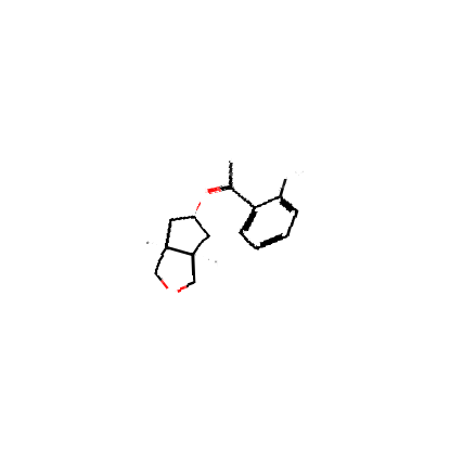 COc1ccccc1C(O[C@H]1C[C@H]2COC[C@H]2C1)C(=O)O